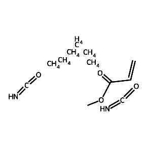 C.C.C.C.C.C.C=CC(=O)OC.N=C=O.N=C=O